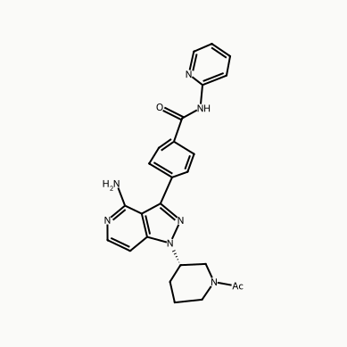 CC(=O)N1CCC[C@H](n2nc(-c3ccc(C(=O)Nc4ccccn4)cc3)c3c(N)nccc32)C1